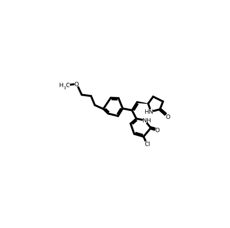 COCCCc1ccc(/C(=C/[C@H]2CCC(=O)N2)c2ccc(Cl)c(=O)[nH]2)cc1